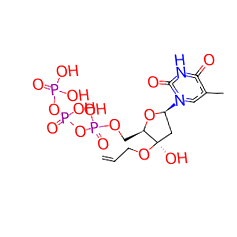 C=CCO[C@]1(O)C[C@H](n2cc(C)c(=O)[nH]c2=O)O[C@@H]1COP(=O)(O)OP(=O)(O)OP(=O)(O)O